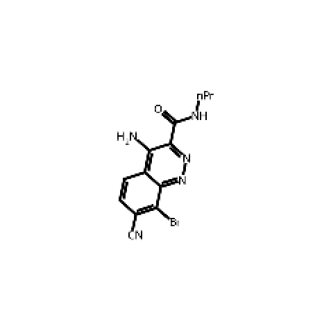 CCCNC(=O)c1nnc2c(Br)c(C#N)ccc2c1N